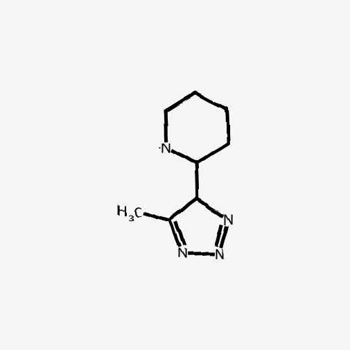 CC1=NN=NC1C1CCCC[N]1